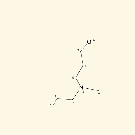 CCCN(C)CCC[O]